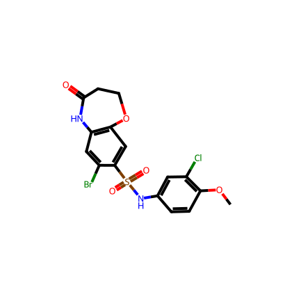 COc1ccc(NS(=O)(=O)c2cc3c(cc2Br)NC(=O)CCO3)cc1Cl